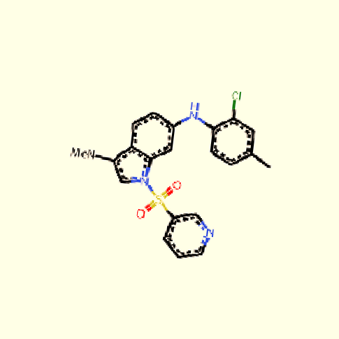 CNc1cn(S(=O)(=O)c2cccnc2)c2cc(Nc3ccc(C)cc3Cl)ccc12